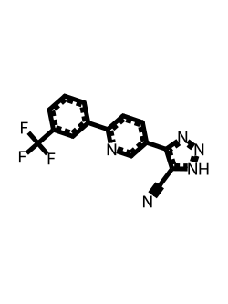 N#Cc1[nH]nnc1-c1ccc(-c2cccc(C(F)(F)F)c2)nc1